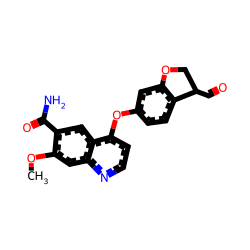 COc1cc2nccc(Oc3ccc4c(c3)OCC4C=O)c2cc1C(N)=O